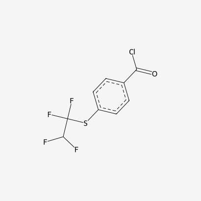 O=C(Cl)c1ccc(SC(F)(F)C(F)F)cc1